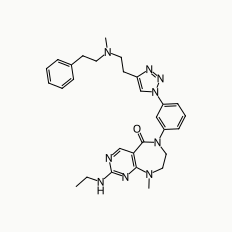 CCNc1ncc2c(n1)N(C)CCN(c1cccc(-n3cc(CCN(C)CCc4ccccc4)nn3)c1)C2=O